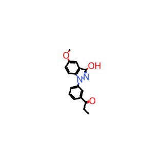 CCC(=O)c1cccc(-n2nc(O)c3cc(OC)ccc32)c1